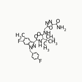 Cc1cc2c(C(=O)NC(C(=O)NCc3nnc(C(N)=O)o3)C(C)(C)C)nn(Cc3ccc(F)cc3)c2cc1F